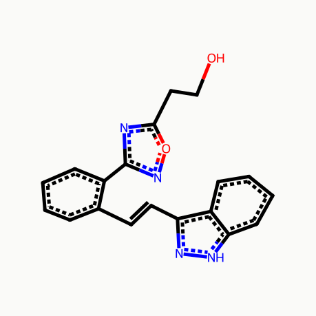 OCCc1nc(-c2ccccc2C=Cc2n[nH]c3ccccc23)no1